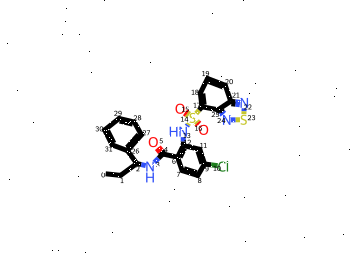 CCC(NC(=O)c1ccc(Cl)cc1NS(=O)(=O)c1cccc2nsnc12)c1ccccc1